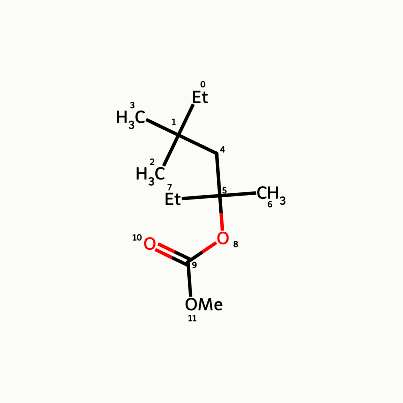 CCC(C)(C)CC(C)(CC)OC(=O)OC